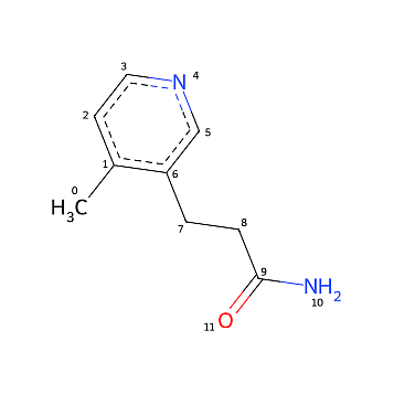 Cc1ccncc1CCC(N)=O